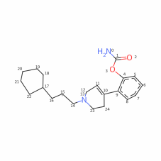 NC(=O)Oc1ccccc1C1=CCN(C[CH]CC2CCCCC2)CC1